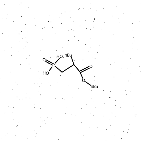 CCCCOC(=O)C(CCCC)CP(=O)(O)O